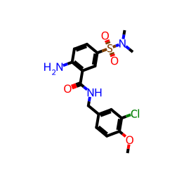 COc1ccc(CNC(=O)c2cc(S(=O)(=O)N(C)C)ccc2N)cc1Cl